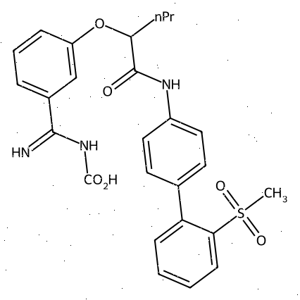 CCCC(Oc1cccc(C(=N)NC(=O)O)c1)C(=O)Nc1ccc(-c2ccccc2S(C)(=O)=O)cc1